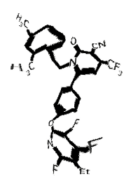 CCc1c(F)nc(Oc2ccc(-c3cc(C(F)(F)F)c(C#N)c(=O)n3Cc3ccc(C)cc3C)cc2)c(F)c1F